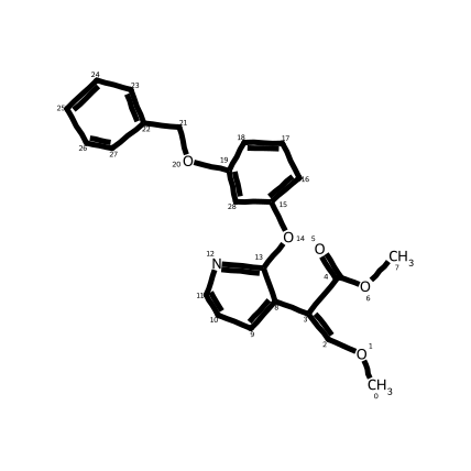 COC=C(C(=O)OC)c1cccnc1Oc1cccc(OCc2ccccc2)c1